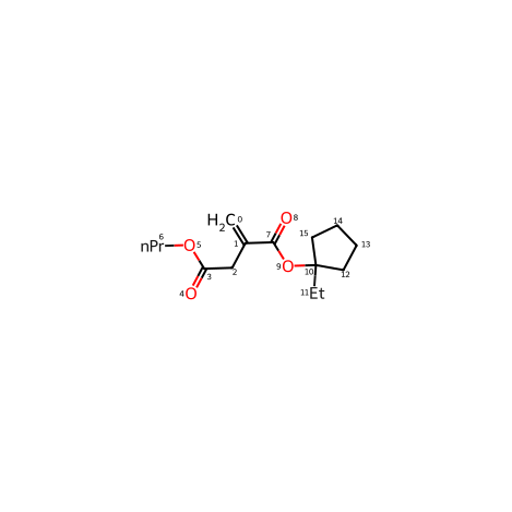 C=C(CC(=O)OCCC)C(=O)OC1(CC)CCCC1